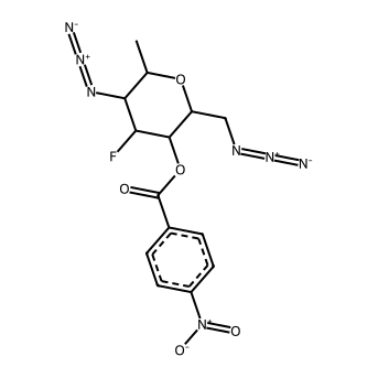 CC1OC(CN=[N+]=[N-])C(OC(=O)c2ccc([N+](=O)[O-])cc2)C(F)C1N=[N+]=[N-]